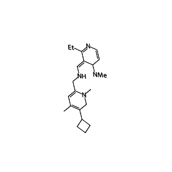 CCC1=NC=CC(NC)/C1=C\NCC1=CC(C)=C(C2CCC2)CN1C